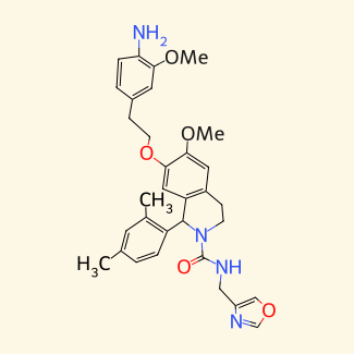 COc1cc(CCOc2cc3c(cc2OC)CCN(C(=O)NCc2cocn2)C3c2ccc(C)cc2C)ccc1N